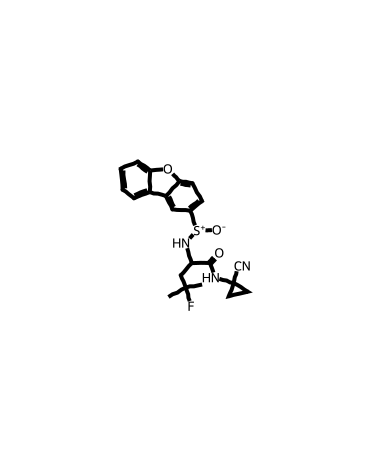 CC(C)(F)CC(N[S+]([O-])c1ccc2oc3ccccc3c2c1)C(=O)NC1(C#N)CC1